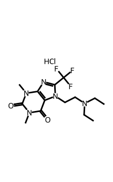 CCN(CC)CCn1c(C(F)(F)F)nc2c1c(=O)n(C)c(=O)n2C.Cl